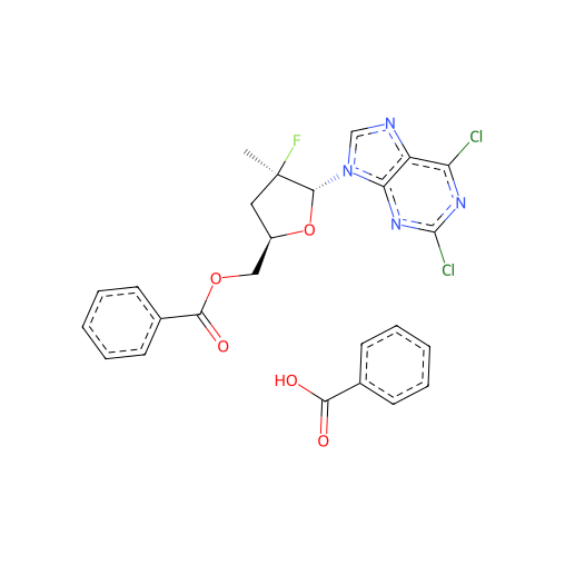 C[C@@]1(F)C[C@H](COC(=O)c2ccccc2)O[C@H]1n1cnc2c(Cl)nc(Cl)nc21.O=C(O)c1ccccc1